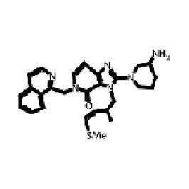 CS/C=C\C(C)Cn1c(N2CCCC(N)C2)nc2ccn(Cc3nccc4ccccc34)c(=O)c21